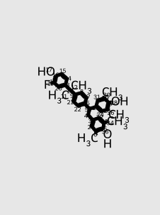 Cc1cc(CC(c2ccc(C(C)(C)c3ccc(O)c(F)c3)cc2)c2cc(C)c(O)c(C)c2)cc(C)c1O